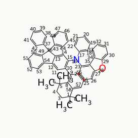 CC1(C)CCC(C)(C)c2c(-c3cc4c(cc3N(c3ccccc3)c3cccc5oc6ccccc6c35)C(c3ccccc3)(c3ccccc3)c3ccccc3-4)cccc21